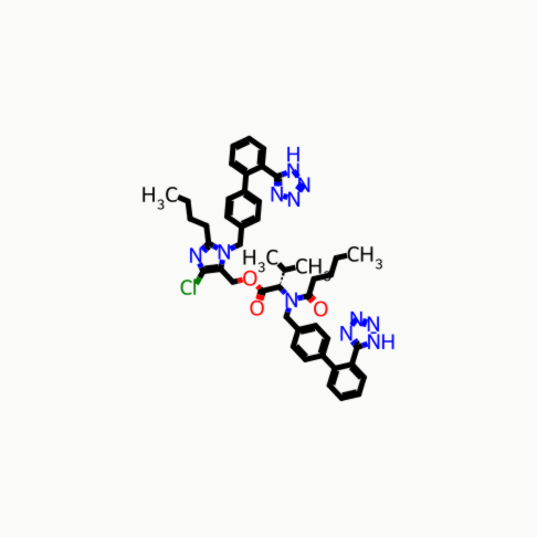 CCCCC(=O)N(Cc1ccc(-c2ccccc2-c2nnn[nH]2)cc1)[C@H](C(=O)OCc1c(Cl)nc(CCCC)n1Cc1ccc(-c2ccccc2-c2nnn[nH]2)cc1)C(C)C